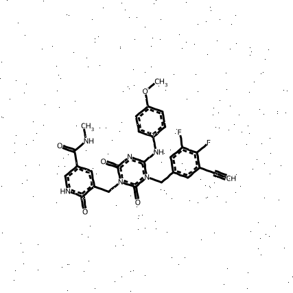 C#Cc1cc(Cn2c(Nc3ccc(OC)cc3)nc(=O)n(Cc3cc(C(=O)NC)c[nH]c3=O)c2=O)cc(F)c1F